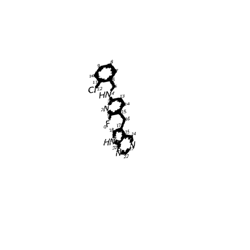 Fc1nc(NCc2ccccc2Cl)ccc1Cc1c[nH]c2ncncc12